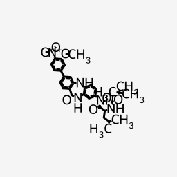 COc1cc(-c2ccc3c(c2)Nc2ccc(NC(=O)C(CC(C)C)NC(=O)OC(C)(C)C)cc2NC3=O)ccc1[N+](=O)[O-]